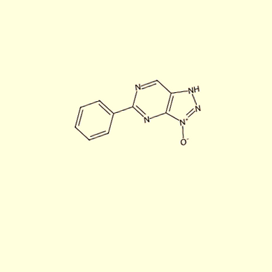 [O-][n+]1n[nH]c2cnc(-c3ccccc3)nc21